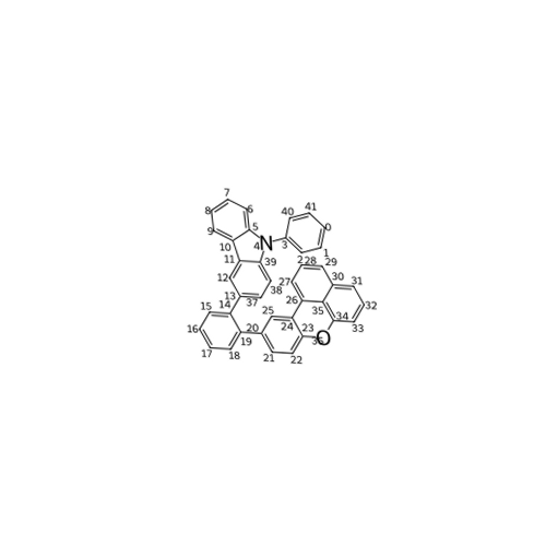 c1ccc(-n2c3ccccc3c3cc(-c4ccccc4-c4ccc5c(c4)-c4cccc6cccc(c46)O5)ccc32)cc1